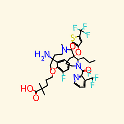 CCC[C@H]1N(C(=O)c2ncccc2C(F)(F)F)CCC[C@@]1(Oc1csc(C(F)(F)F)c1)C(=O)N(C)CCC(N)(CC)c1cccc(F)c1OCCCC(C)(C)C(=O)O